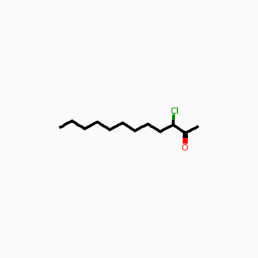 CCCCCCCCCC(Cl)C(C)=O